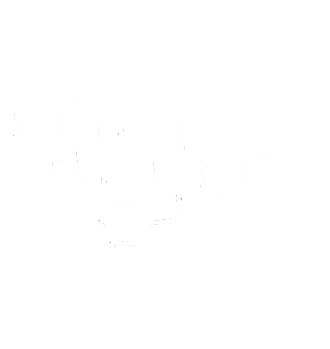 CCOc1ccc(-n2c(C)c3c(C)nnc(N4C[C@@H]5CCc6ccccc6[C@@H]5C4)c3c2C)c(OC)c1